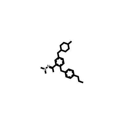 CCCc1ccc(Cc2ccc(CC3CCC(C)CC3)cc2/C(C)=N/N(C)C)cc1